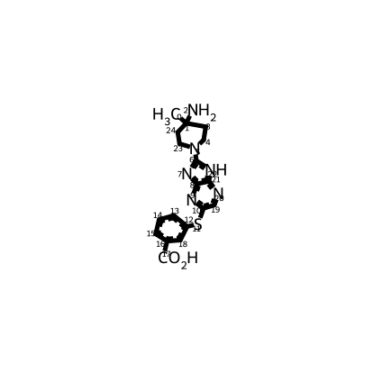 CC1(N)CCN(c2nc3nc(Sc4cccc(C(=O)O)c4)cnc3[nH]2)CC1